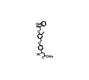 CON=C(COc1ccc(COc2ccc(C(C#N)CC(=O)OC)cc2)cc1F)c1ccccc1